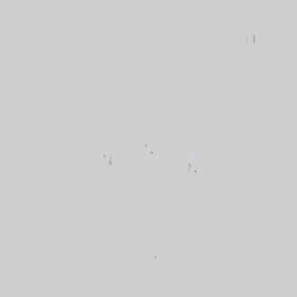 COC(=O)c1ccc(/C(=N/c2ccc(Cl)cc2)N2CCN(Cc3ccccc3)CC2)cc1